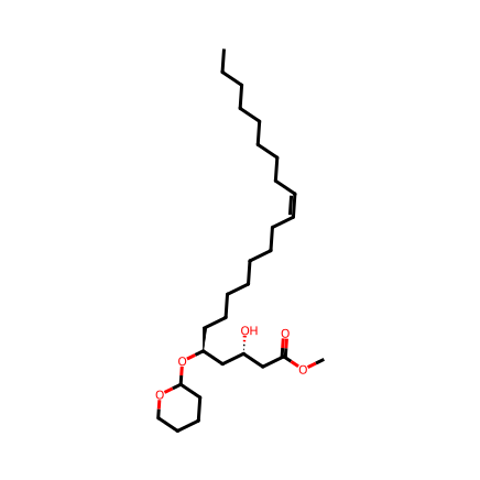 CCCCCCCC/C=C\CCCCCCC[C@@H](C[C@H](O)CC(=O)OC)OC1CCCCO1